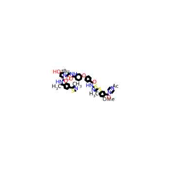 COc1cc(C)c(Sc2cnc(NC(=O)c3ccc(OC4CCCC(C(=O)N[C@H](C(=O)N5C[C@H](O)C[C@H]5C(=O)N[C@@H](C)c5ccc(-c6scnc6C)cc5)C(C)(C)C)CC4)cc3)s2)cc1C(=O)N1CCN(C(C)=O)CC1